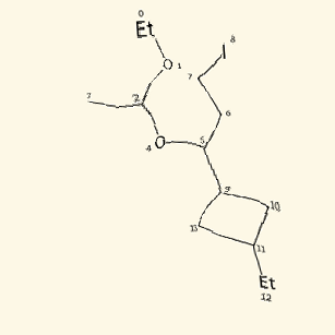 CCOC(C)OC(CCI)C1CC(CC)C1